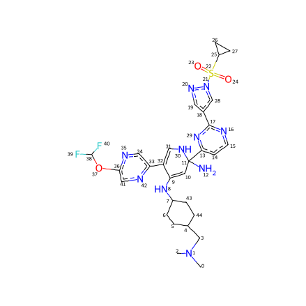 CN(C)CC1CCC(NC2=CC(N)(c3ccnc(-c4cnn(S(=O)(=O)C5CC5)c4)n3)NC=C2c2cnc(OC(F)F)cn2)CC1